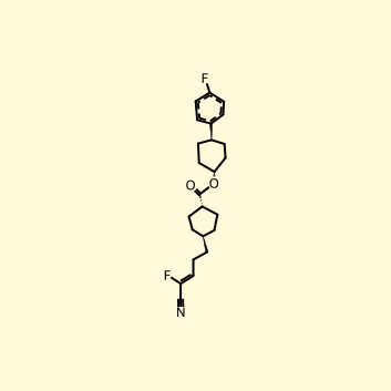 N#CC(F)=CCC[C@H]1CC[C@H](C(=O)O[C@H]2CC[C@H](c3ccc(F)cc3)CC2)CC1